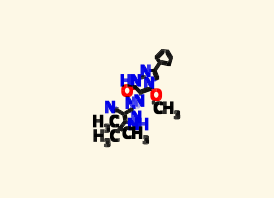 CCOc1c(/N=N/c2n[nH]c(C(C)(C)C)c2C#N)c(=O)[nH]c2nc(-c3ccccc3)cn12